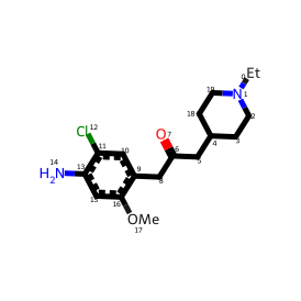 CCN1CCC(CC(=O)Cc2cc(Cl)c(N)cc2OC)CC1